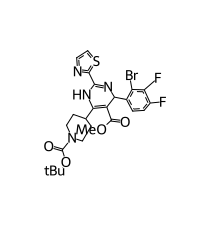 COC(=O)C1=C(C2CCN(C(=O)OC(C)(C)C)CC2)NC(c2nccs2)=NC1c1ccc(F)c(F)c1Br